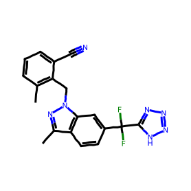 Cc1cccc(C#N)c1Cn1nc(C)c2ccc(C(F)(F)c3nnn[nH]3)cc21